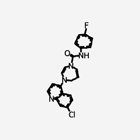 O=C(Nc1ccc(F)cc1)N1C=CCN(c2ccnc3cc(Cl)ccc23)C=C1